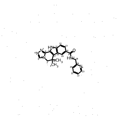 CC1(C)Cn2cnnc2-c2[nH]c3ccc(C(=O)NCc4ccccn4)cc3c21